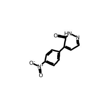 O=c1[nH]nccc1-c1ccc([N+](=O)[O-])cc1